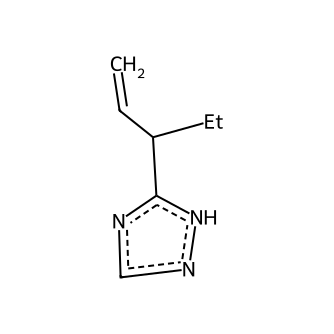 C=CC(CC)c1ncn[nH]1